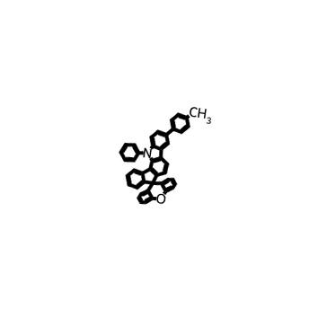 Cc1ccc(-c2ccc3c(c2)c2ccc4c(c2n3-c2ccccc2)-c2ccccc2C42c3ccccc3Oc3ccccc32)cc1